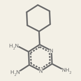 Nc1nc(N)c(N)c(C2CCCCC2)n1